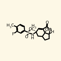 Cc1ccc(S(=O)(=O)N[C@@]2(C)C=C3C(=O)O[C@@H]4CCC(C2)[C@]34O)cc1F